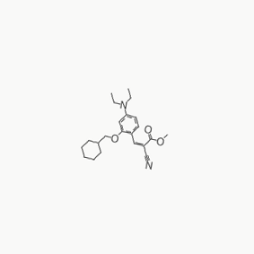 CCN(CC)c1ccc(C=C(C#N)C(=O)OC)c(OCC2CCCCC2)c1